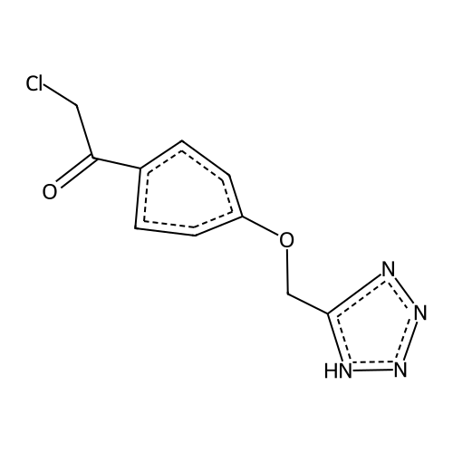 O=C(CCl)c1ccc(OCc2nnn[nH]2)cc1